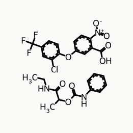 CCNC(=O)C(C)OC(=O)Nc1ccccc1.O=C(O)c1cc(Oc2ccc(C(F)(F)F)cc2Cl)ccc1[N+](=O)[O-]